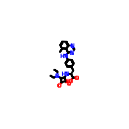 CCN(CC)c1c(N[C@@H](Cc2ccc(Nc3ncnc4cccc(C)c34)cc2)C(=O)O)c(=O)c1=O